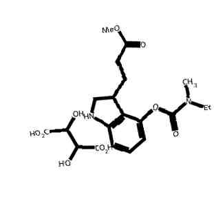 CCN(C)C(=O)Oc1cccc2c1C(CCC(=O)OC)CN2.O=C(O)C(O)C(O)C(=O)O